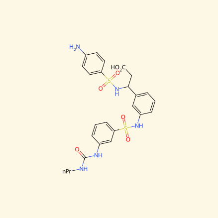 CCCNC(=O)Nc1cccc(S(=O)(=O)Nc2cccc(C(CC(=O)O)NS(=O)(=O)c3ccc(N)cc3)c2)c1